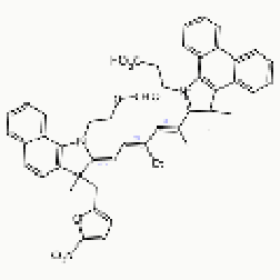 CCC(=C\C=C1/N(CCOC=O)c2c(ccc3ccccc23)C1(C)Cc1ccc([N+](=O)[O-])o1)/C=C(\C)C1=[N+](CCC(=O)O)c2c(c3ccccc3c3ccccc23)C1(C)C